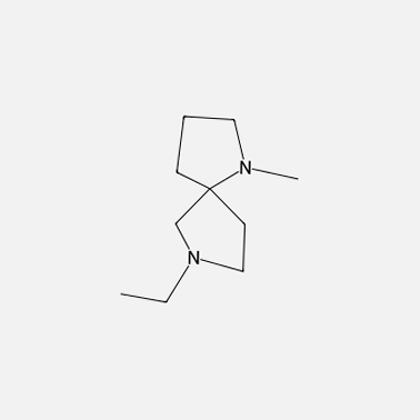 CCN1CCC2(CCCN2C)C1